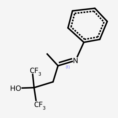 C/C(CC(O)(C(F)(F)F)C(F)(F)F)=N\c1ccccc1